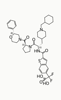 O=C(N[C@@H](CC1CCN(CC2CCCCC2)CC1)C(=O)N1CCC[C@H]1C(=O)N1CCO[C@H](c2ccccc2)C1)c1cc2cc(C(F)(F)P(=O)(O)O)ccc2s1